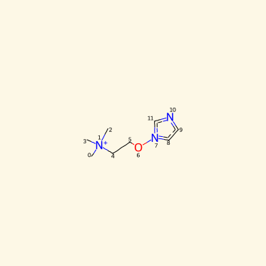 C[N+](C)(C)CCOn1ccnc1